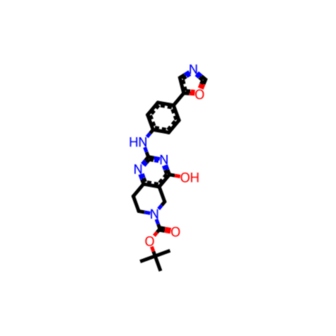 CC(C)(C)OC(=O)N1CCc2nc(Nc3ccc(-c4cnco4)cc3)nc(O)c2C1